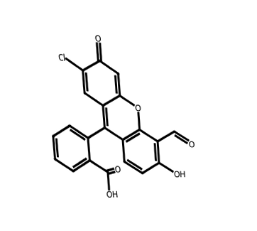 O=Cc1c(O)ccc2c(-c3ccccc3C(=O)O)c3cc(Cl)c(=O)cc-3oc12